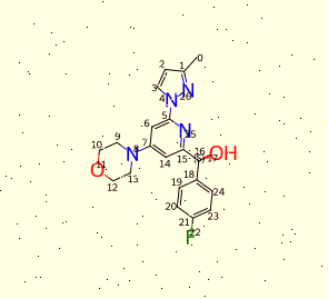 Cc1ccn(-c2cc(N3CCOCC3)cc([C@@H](O)c3ccc(F)cc3)n2)n1